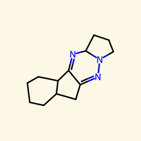 C1CCC2C3=NC4CCCN4N=C3CC2C1